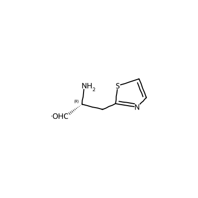 N[C@@H]([C]=O)Cc1nccs1